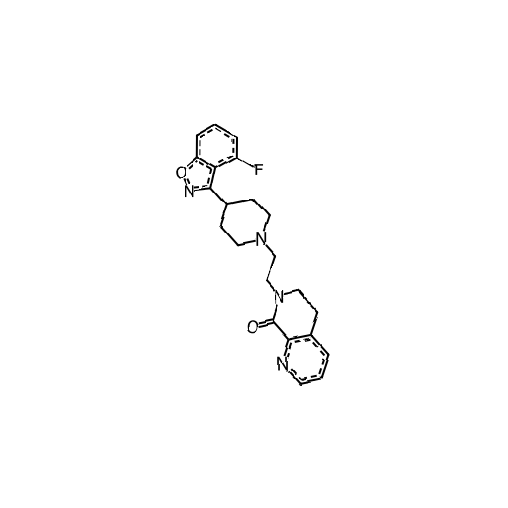 O=C1c2ncccc2CCN1CCN1CCC(c2noc3cccc(F)c23)CC1